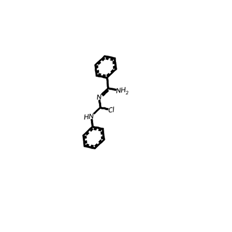 N/C(=N\C(Cl)Nc1ccccc1)c1ccccc1